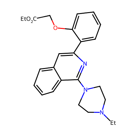 CCOC(=O)COc1ccccc1-c1cc2ccccc2c(N2CCN(CC)CC2)n1